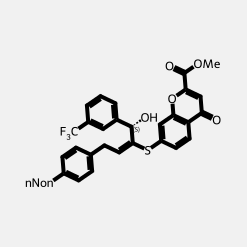 CCCCCCCCCc1ccc(CC=C(Sc2ccc3c(=O)cc(C(=O)OC)oc3c2)[C@@H](O)c2cccc(C(F)(F)F)c2)cc1